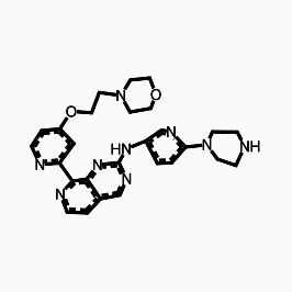 c1cc(OCCN2CCOCC2)cc(-c2nccc3cnc(Nc4ccc(N5CCNCC5)nc4)nc23)n1